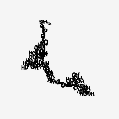 CN(CC(=O)NCCOCCOCCOCCC(=O)N(C[C@H](O)[C@@H](O)[C@H](O)[C@H](O)CO)C[C@H](O)[C@@H](O)[C@H](O)[C@H](O)CO)C(=O)CN(C)C(=O)CN(C)C(=O)C(CCCN(C[C@H](O)[C@@H](O)[C@H](O)[C@H](O)CO)C[C@H](O)[C@@H](O)[C@H](O)[C@H](O)CO)NC(=O)CN(C)C(=O)CN(C)C(=O)CNC(=O)CCOCCOCCOCCN